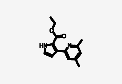 CCOC(=O)c1[nH]ccc1-c1cc(C)cc(C)n1